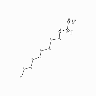 CCCCCCCCCOC(=O)[O-].[Li+]